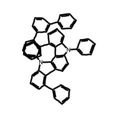 c1ccc(-c2cccc(-c3cccc(-n4c5cccc(-c6ccccc6)c5c5ccc6c(c7c(-c8ccccc8)cccc7n6-c6ccccc6)c54)c3)c2)cc1